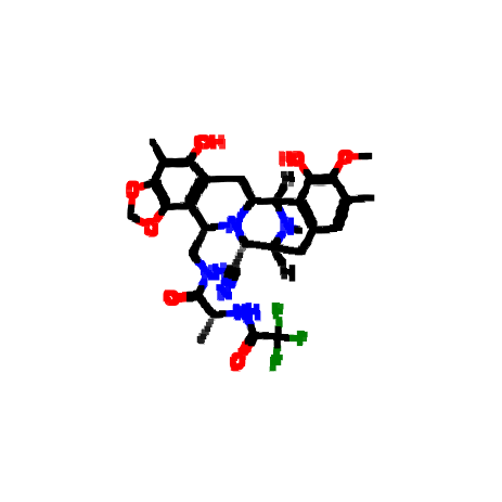 COc1c(C)cc2c(c1O)[C@H]1C3Cc4c(O)c(C)c5c(c4[C@H](CNC(=O)[C@@H](C)NC(=O)C(F)(F)F)N3[C@@H](C#N)[C@@H](C2)N1C)OCO5